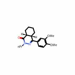 CCCN1N=C(c2ccc(OC)c(OC)c2)[C@H]2CCCC[C@H]2C1=O